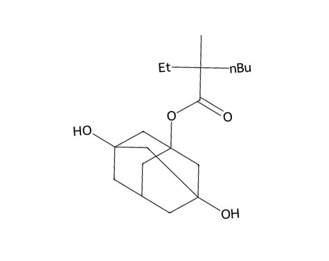 CCCCC(C)(CC)C(=O)OC12CC3CC(O)(CC(O)(C3)C1)C2